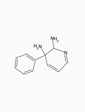 NC1N=CC=CC1(N)c1ccccc1